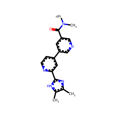 CCCN(C)C(=O)c1cncc(-c2ccnc(-c3nc(C)c(C)[nH]3)c2)c1